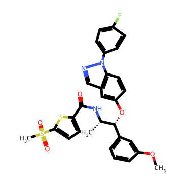 COc1cccc([C@@H](Oc2ccc3c(cnn3-c3ccc(F)cc3)c2)[C@H](C)NC(=O)c2ccc(S(C)(=O)=O)s2)c1